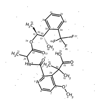 COc1ccnc(C(=O)NC(C)C(=O)O[C@@H](C)[C@@H](C)c2ccccc2C(F)(F)F)c1C(C)(C)C(=O)O